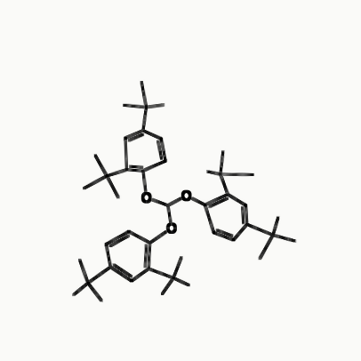 CC(C)(C)c1ccc(OC(Oc2ccc(C(C)(C)C)cc2C(C)(C)C)Oc2ccc(C(C)(C)C)cc2C(C)(C)C)c(C(C)(C)C)c1